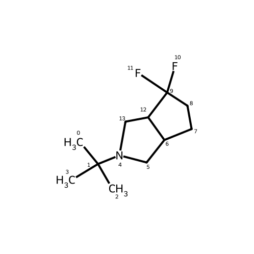 CC(C)(C)N1CC2CCC(F)(F)C2C1